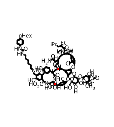 CCCCCCc1ccc(NC(=O)NCCCCCCNCc2c(O)cc3c(c2O)-c2cc(ccc2O)[C@H]2CC(=O)[C@@H]4NC(=O)[C@H](CC(N)=O)CC(=O)[C@H](NC(=O)[C@H](CC)CC(C)C)[C@H](O)c5ccc(c(Cl)c5)Oc5cc4cc(c5O[C@@H]4O[C@H](CO)[C@@H](O)[C@H](O)[C@H]4O[C@H]4C[C@]5(C)NC(=O)O[C@@H]5[C@H](C)O4)Oc4ccc(cc4Cl)[C@@H](O)[C@H](NC2=O)C(=O)N[C@@H]3C(=O)O)cc1